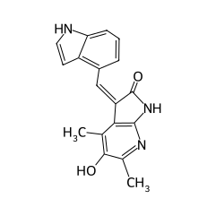 Cc1nc2c(c(C)c1O)C(=Cc1cccc3[nH]ccc13)C(=O)N2